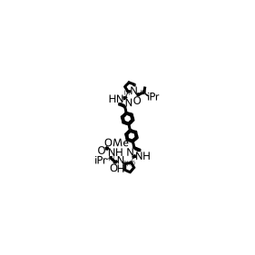 COC(=O)N[C@H](C(=O)N[C@@H]1CCC[C@H]1c1nc(-c2ccc(-c3ccc(-c4c[nH]c([C@@H]5CCCN5C(=O)[C@@H](C)C(C)C)n4)cc3)cc2)c[nH]1)C(C)C